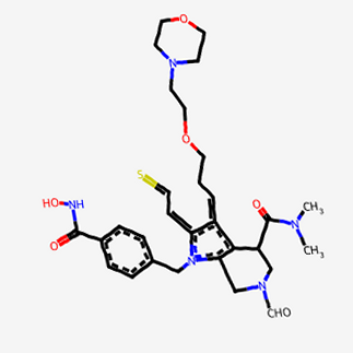 CN(C)C(=O)C1CN(C=O)Cc2c1c(=C/CCOCCN1CCOCC1)/c(=C\C=S)n2Cc1ccc(C(=O)NO)cc1